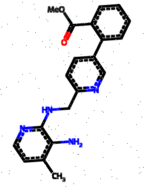 COC(=O)c1ccccc1-c1ccc(CNc2nccc(C)c2N)nc1